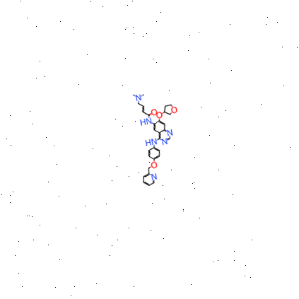 CN(C)C/C=C/C(=O)Nc1cc2c(Nc3ccc(OCc4ccccn4)cc3)ncnc2cc1OC1CCOC1